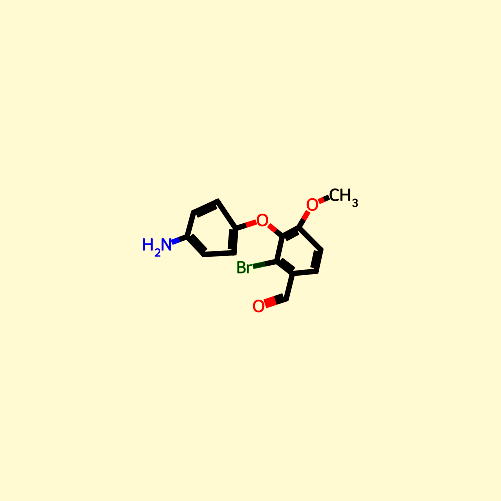 COc1ccc(C=O)c(Br)c1Oc1ccc(N)cc1